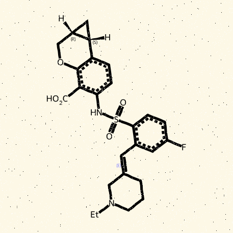 CCN1CCC/C(=C\c2cc(F)ccc2S(=O)(=O)Nc2ccc3c(c2C(=O)O)OC[C@@H]2C[C@H]32)C1